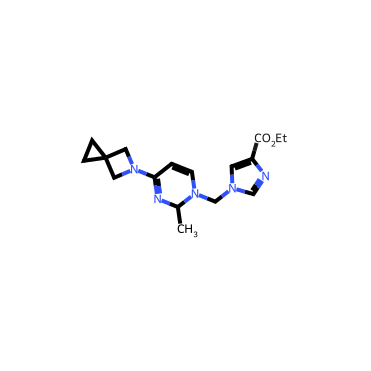 CCOC(=O)c1cn(CN2C=CC(N3CC4(CC4)C3)=NC2C)cn1